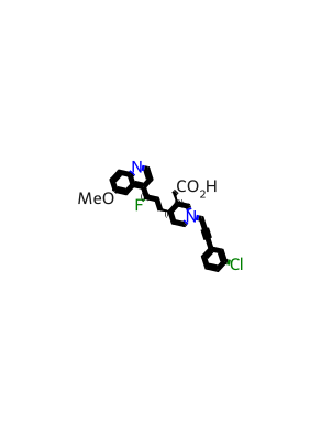 COc1ccc2nccc([C@@H](F)CC[C@@H]3CCN(CC#Cc4cccc(Cl)c4)C[C@@H]3CC(=O)O)c2c1